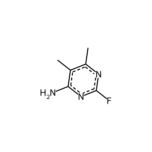 Cc1nc(F)nc(N)c1C